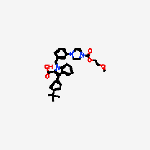 COCCOC(=O)N1CCN(c2cccc(Cn3c(C(=O)O)c(-c4ccc(C(C)(C)C)cc4)c4ccccc43)c2)CC1